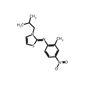 Cc1cc([N+](=O)[O-])ccc1N=c1sccn1CC(C)C